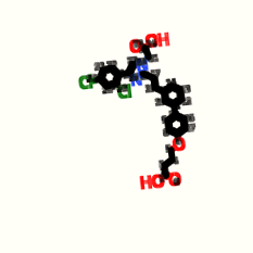 O=C(O)CCCOc1ccc(-c2cccc(/C=C/c3nc(-c4ccc(Cl)cc4Cl)cn3CC(=O)O)c2)cc1